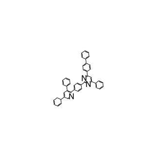 C1=CCC(c2cnc(-c3ccc(-c4nc(-c5ccccc5)cc(-c5ccc(-c6ccccc6)cc5)n4)cc3)c(-c3ccccc3)c2)C=C1